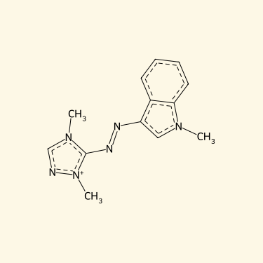 Cn1cn[n+](C)c1N=Nc1cn(C)c2ccccc12